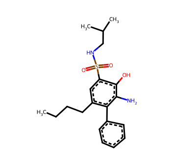 CCCCc1cc(S(=O)(=O)NCC(C)C)c(O)c(N)c1-c1ccccc1